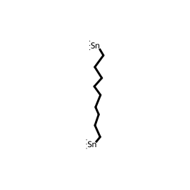 [Sn][CH2]CCCCCCC[CH2][Sn]